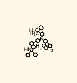 CC1(C)C2=C(C=CCC2)c2ccc(N(c3ccc(-c4cccc5c4ccc4c(-c6ccccc6)c(-c6ccccc6)[nH]c45)cc3)c3ccc4c(c3)C(C)(C)c3ccccc3-4)cc21